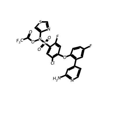 Nc1cc(-c2cc(F)ccc2Oc2cc(F)c(S(=O)(=O)N(OC(=O)C(F)(F)F)c3cscn3)cc2Cl)ccn1